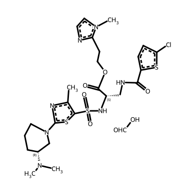 Cc1nc(N2CCC[C@@H](N(C)C)C2)sc1S(=O)(=O)N[C@@H](CNC(=O)c1ccc(Cl)s1)C(=O)OCCc1nccn1C.O=CO